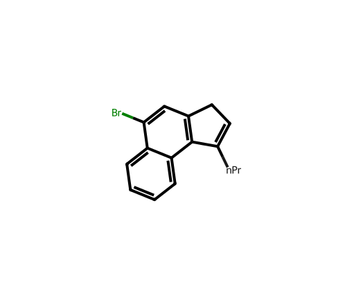 CCCC1=CCc2cc(Br)c3ccccc3c21